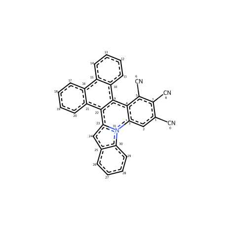 N#Cc1cc2c(c(C#N)c1C#N)c1c3ccccc3c3ccccc3c1c1cc3ccccc3n21